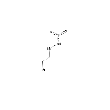 CCCCCNN[SH](=O)=O